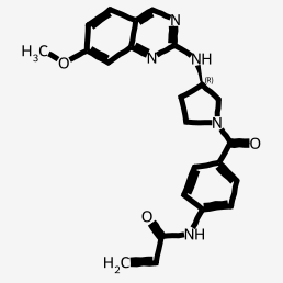 C=CC(=O)Nc1ccc(C(=O)N2CC[C@@H](Nc3ncc4ccc(OC)cc4n3)C2)cc1